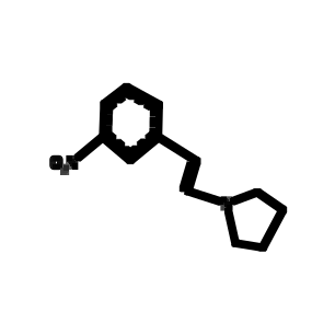 O=[N+]([O-])c1cccc(C=CN2CCCC2)c1